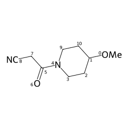 COC1CCN(C(=O)CC#N)CC1